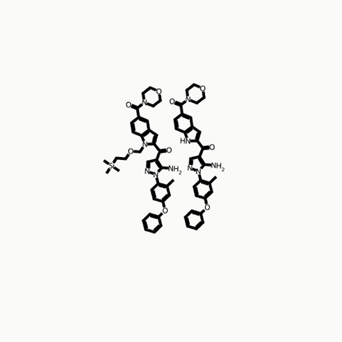 Cc1cc(Oc2ccccc2)ccc1-n1ncc(C(=O)c2cc3cc(C(=O)N4CCOCC4)ccc3[nH]2)c1N.Cc1cc(Oc2ccccc2)ccc1-n1ncc(C(=O)c2cc3cc(C(=O)N4CCOCC4)ccc3n2COCC[Si](C)(C)C)c1N